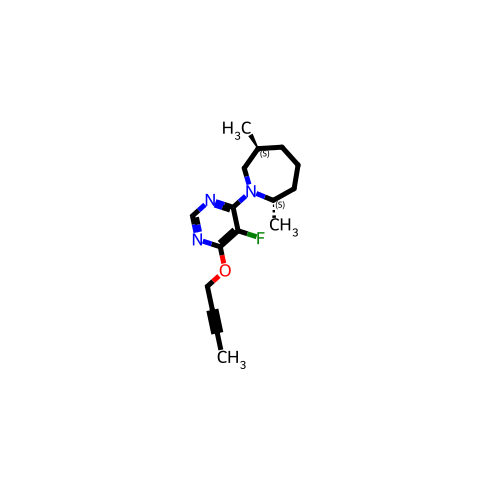 CC#CCOc1ncnc(N2C[C@@H](C)CCC[C@@H]2C)c1F